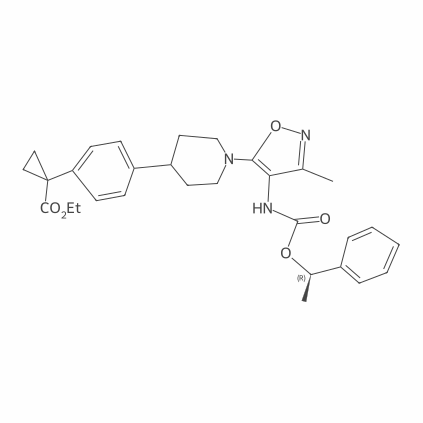 CCOC(=O)C1(c2ccc(C3CCN(c4onc(C)c4NC(=O)O[C@H](C)c4ccccc4)CC3)cc2)CC1